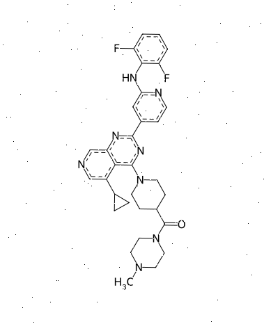 CN1CCN(C(=O)C2CCN(c3nc(-c4ccnc(Nc5c(F)cccc5F)c4)nc4cncc(C5CC5)c34)CC2)CC1